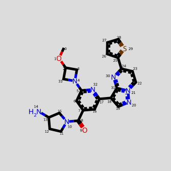 COC1CN(c2cc(C(=O)N3CCC(N)C3)cc(-c3cnn4ccc(-c5cccs5)nc34)n2)C1